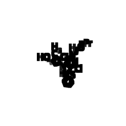 CCCOCCNc1nc(Cl)c(-c2nc3ccccc3s2)c(NC2C[C@H](CO)[C@@H](C)[C@H]2C)n1